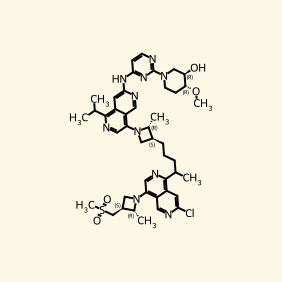 CO[C@@H]1CCN(c2nccc(Nc3cc4c(C(C)C)ncc(N5C[C@H](CCCC(C)c6ncc(N7C[C@H](CS(C)(=O)=O)[C@H]7C)c7cnc(Cl)cc67)[C@H]5C)c4cn3)n2)C[C@H]1O